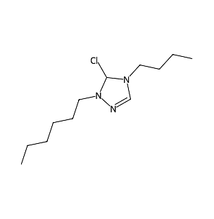 CCCCCCN1N=CN(CCCC)C1Cl